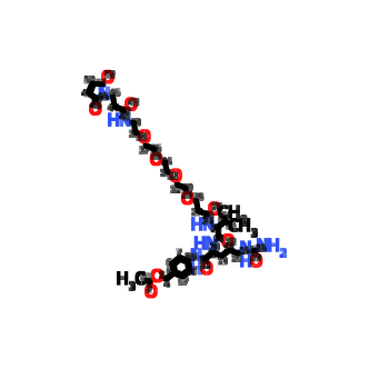 CC(=O)OCc1ccc(NC(=O)C(CCCNC(N)=O)NC(=O)C(NC(=O)CCOCCOCCOCCOCCNC(=O)CCN2C(=O)C=CC2=O)C(C)C)cc1